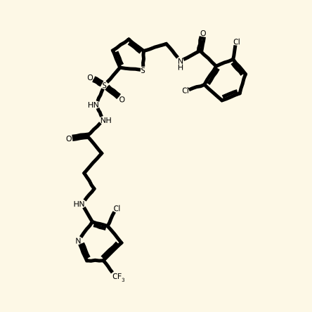 O=C(CCCNc1ncc(C(F)(F)F)cc1Cl)NNS(=O)(=O)c1ccc(CNC(=O)c2c(Cl)cccc2Cl)s1